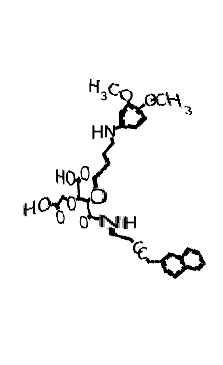 COc1ccc(NCCCCOC(C(=O)NCCCCCc2ccc3ccccc3c2)C(OCC(=O)O)C(=O)O)cc1OC